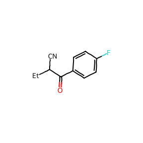 CCC(C#N)C(=O)c1ccc(F)cc1